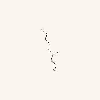 ClC=CC(Cl)CCCCCl